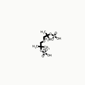 CC(C)(COCC(C)(C)OP(=O)(O)O)OP(=O)(O)O